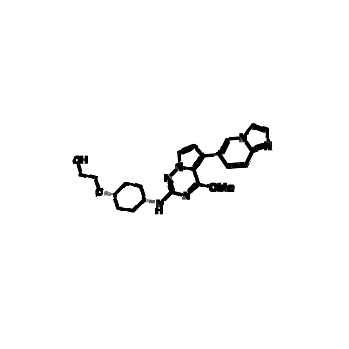 COc1nc(N[C@H]2CC[C@@H](OCCO)CC2)nn2ccc(-c3ccc4nccn4c3)c12